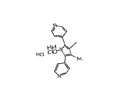 CC(=O)c1c(C)c(-c2ccncc2)n(O)c1-c1ccncc1.Cl.Cl